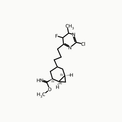 COC(=N)[C@H]1CC(CCCC2=NC(Cl)=NC(C)C2F)C[C@H]2C[C@H]21